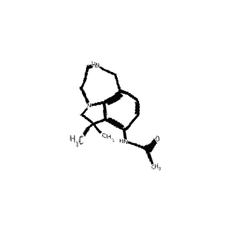 CC(=O)Nc1ccc2c3c1C(C)(C)CN3CCNC2